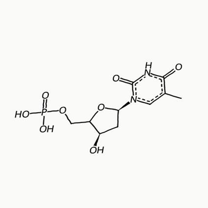 Cc1cn([C@H]2C[C@@H](O)C(COP(=O)(O)O)O2)c(=O)[nH]c1=O